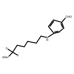 CCCCCCCCCCC(F)(F)CCCCCNc1ccc(C=O)cc1